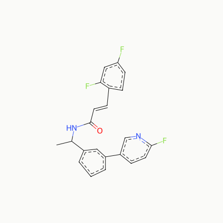 CC(NC(=O)C=Cc1ccc(F)cc1F)c1cccc(-c2ccc(F)nc2)c1